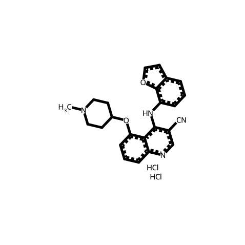 CN1CCC(Oc2cccc3ncc(C#N)c(Nc4cccc5ccoc45)c23)CC1.Cl.Cl